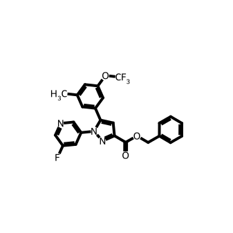 Cc1cc(OC(F)(F)F)cc(-c2cc(C(=O)OCc3ccccc3)nn2-c2cncc(F)c2)c1